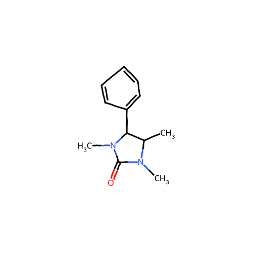 CC1C(c2ccccc2)N(C)C(=O)N1C